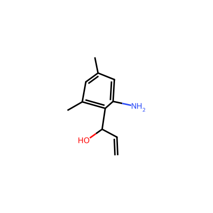 C=CC(O)c1c(C)cc(C)cc1N